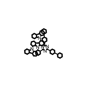 c1ccc(-c2ccc(-c3nc(-c4ccc(-c5ccccc5)cc4)nc(-c4ccccc4-n4c5cccc(-n6c7ccccc7c7ccccc76)c5c5cccc(-n6c7ccccc7c7ccccc76)c54)n3)cc2)cc1